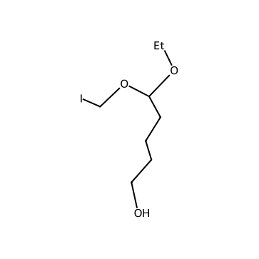 CCOC(CCCCO)OCI